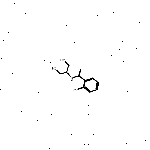 CC(NC(CO)CO)c1ccccc1O